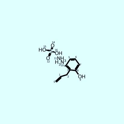 C=CCc1ccccc1O.N.N.O=S(=O)(O)O